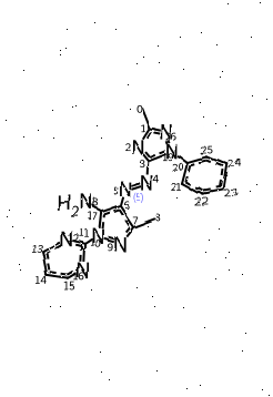 Cc1nc(/N=N/c2c(C)nn(-c3ncccn3)c2N)n(-c2ccccc2)n1